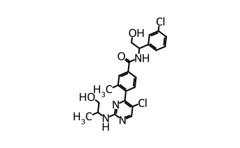 Cc1cc(C(=O)NC(CO)c2cccc(Cl)c2)ccc1-c1nc(NC(C)CO)ncc1Cl